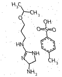 CC(C)OCCCNC1=NC(N)CN1.Cc1ccc(S(=O)(=O)O)cc1